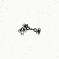 Cn1c(=O)n(C2CCC(=O)NC2=O)c2ccc(C#CC3CCN(C(=O)C(F)(F)F)CC3)cc21